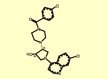 O=C(c1ccc(Cl)cc1)N1CCN([C@@H]2CN(c3ccnc4cc(Cl)ccc34)C[C@H]2O)CC1